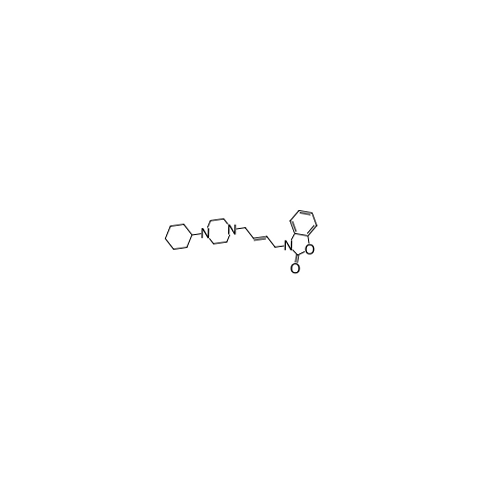 O=c1oc2ccccc2n1C/C=C/CN1CCN(C2CCCCC2)CC1